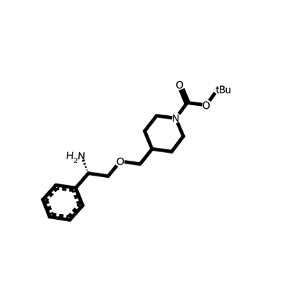 CC(C)(C)OC(=O)N1CCC(COC[C@@H](N)c2ccccc2)CC1